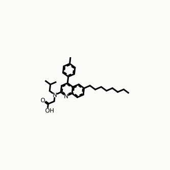 CCCCCCCCc1ccc2nc(N(CC(=O)O)CC(C)C)cc(-c3ccc(C)cc3)c2c1